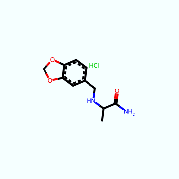 CC(NCc1ccc2c(c1)OCO2)C(N)=O.Cl